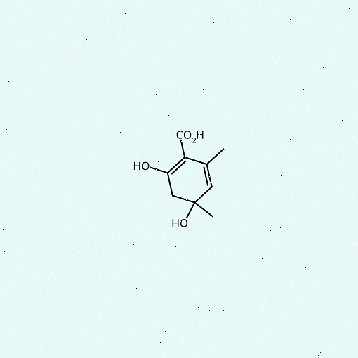 CC1=CC(C)(O)CC(O)=C1C(=O)O